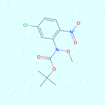 CON(C(=O)OC(C)(C)C)c1cc(Cl)ccc1[N+](=O)[O-]